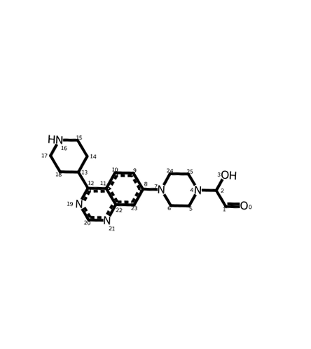 O=CC(O)N1CCN(c2ccc3c(C4CCNCC4)ncnc3c2)CC1